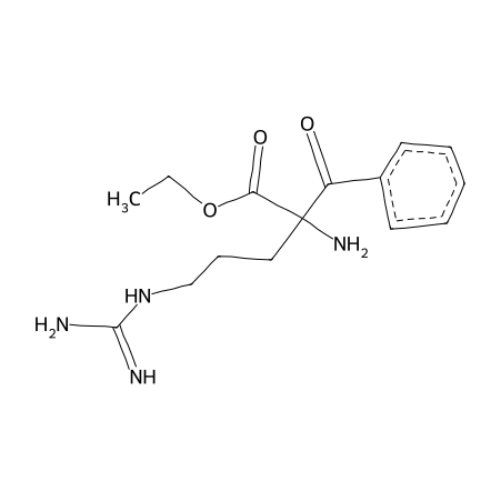 CCOC(=O)C(N)(CCCNC(=N)N)C(=O)c1ccccc1